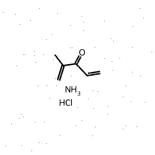 C=CC(=O)C(=C)C.Cl.N